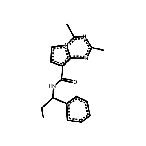 CCC(NC(=O)c1ccn2c(C)nc(C)nc12)c1ccccc1